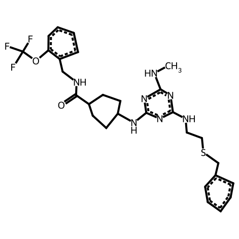 CNc1nc(NCCSCc2ccccc2)nc(NC2CCC(C(=O)NCc3ccccc3OC(F)(F)F)CC2)n1